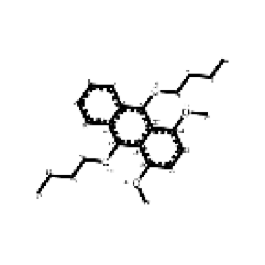 CCCCOc1c2ccccc2c(OCCCC)c2c(OC)ccc(OC)c12